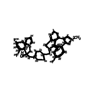 Cn1cc(-c2ccnc3c2C(=O)N(CC2CCN(CC(O)(Cn4ccnc4)c4ccc(F)cc4F)CC2)C3)c(-c2ccc(F)cc2)n1